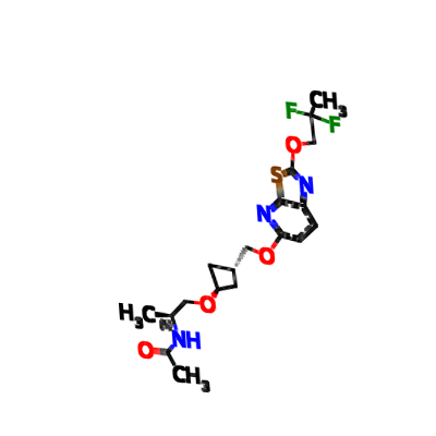 CC(=O)N[C@@H](C)CO[C@H]1C[C@H](COc2ccc3nc(OCC(C)(F)F)sc3n2)C1